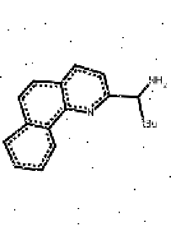 CC(C)(C)C(N)c1ccc2ccc3ccccc3c2n1